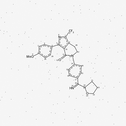 COc1ccc(-n2nc(C(F)(F)F)c3c2C(=O)N(c2ccc(C(=N)N4CCCO4)cc2)CC3)cc1